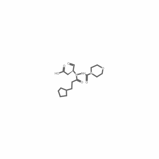 O=C[C@H](CC(=O)O)N(NC(=O)N1CCOCC1)C(=O)CCC1CCCC1